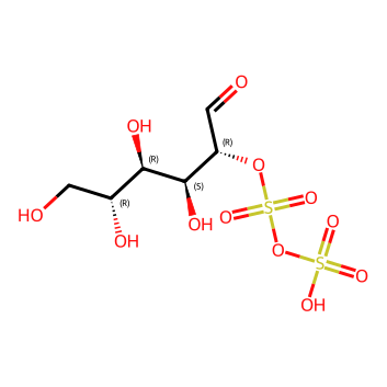 O=C[C@H](OS(=O)(=O)OS(=O)(=O)O)[C@@H](O)[C@H](O)[C@H](O)CO